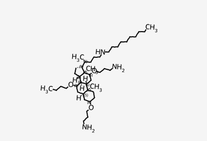 CCCCCCCCCCNCCC[C@@H](C)[C@H]1CC[C@H]2[C@@H]3[C@H](OCCCC)C[C@@H]4C[C@H](OCCCN)CC[C@]4(C)[C@H]3C[C@H](OCCCN)[C@]12C